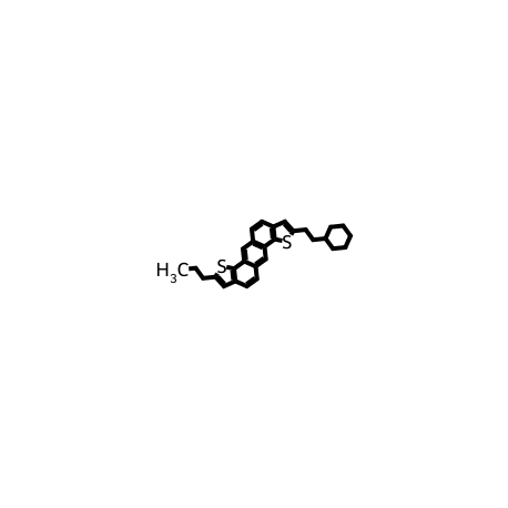 CCCc1cc2ccc3cc4c(ccc5cc(CCC6CCCCC6)sc54)cc3c2s1